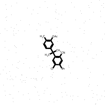 CC(=O)Oc1cc(C(C)(C)c2cc(Cl)c(C(C)C)cc2C#N)ccc1C